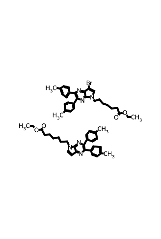 CCOC(=O)CCCCCCn1cc(Br)c2nc(-c3ccc(C)cc3)c(-c3ccc(C)cc3)nc21.CCOC(=O)CCCCCCn1ccc2nc(-c3ccc(C)cc3)c(-c3ccc(C)cc3)nc21